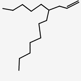 C=CCC(CCCCC)CCCCCCC